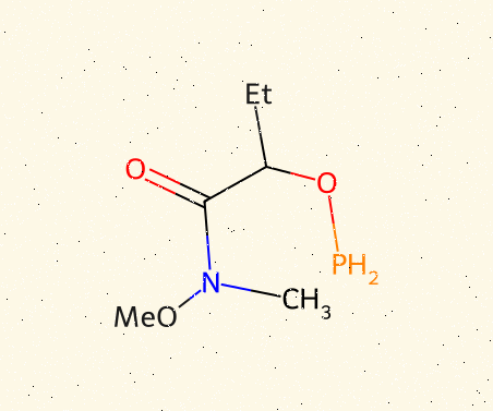 CCC(OP)C(=O)N(C)OC